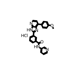 COc1ccc(-c2ccnc3[nH]c(-c4cccc(C(=O)Nc5cccnc5)c4)nc23)cc1.Cl